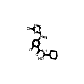 CCN(c1ccc(Cl)c(C(=O)NC(O)C2CCCCC2)c1)c1ccnc(Cl)n1